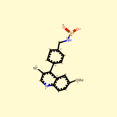 COc1ccc2ncc(C#N)c(-c3ccc(CN[SH](=O)=O)cc3)c2c1